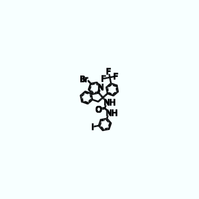 O=C(Nc1cccc(I)c1)NC(Cc1ccccc1)(c1cccc(C(F)(F)F)c1)c1ccc(Br)cn1